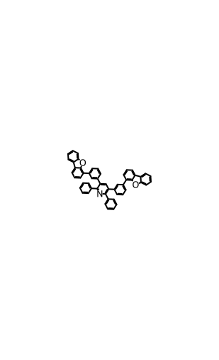 c1ccc(-c2nc(-c3ccccc3)c(-c3cccc(-c4cccc5c4oc4ccccc45)c3)cc2-c2cccc(-c3cccc4c3oc3ccccc34)c2)cc1